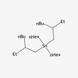 CCCCC[CH2][Sn]([CH2]CCCCC)([CH2]C(CC)CCCC)[CH2]C(CC)CCCC